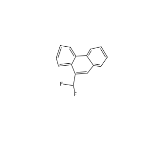 FC(F)c1cc2ccccc2c2ccccc12